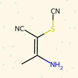 C/C(N)=C(\C#N)SC#N